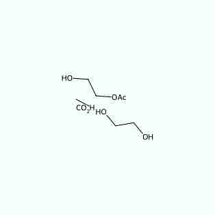 CC(=O)O.CC(=O)OCCO.OCCO